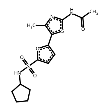 CC(=O)Nc1nc(C)c(-c2ccc(S(=O)(=O)NC3CCCC3)o2)s1